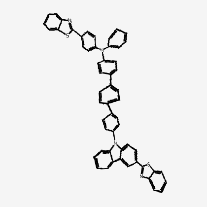 c1ccc(N(c2ccc(-c3ccc(-c4ccc(-n5c6ccccc6c6cc(-c7nc8ccccc8s7)ccc65)cc4)cc3)cc2)c2ccc(-c3nc4ccccc4s3)cc2)cc1